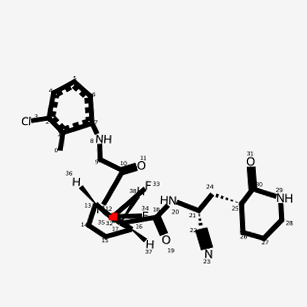 Cc1c(Cl)cccc1NCC(=O)N1[C@H]2CC[C@@H]([C@H]1C(=O)N[C@@H](C#N)C[C@H]1CCCNC1=O)C(F)(F)C2